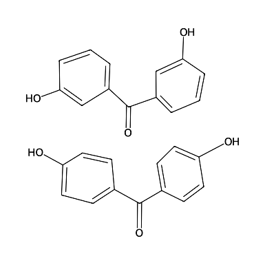 O=C(c1ccc(O)cc1)c1ccc(O)cc1.O=C(c1cccc(O)c1)c1cccc(O)c1